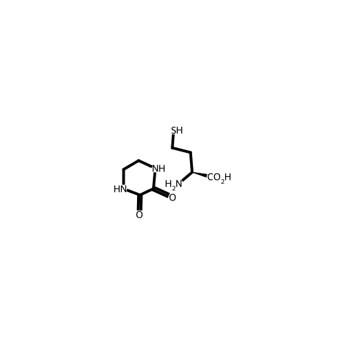 N[C@@H](CCS)C(=O)O.O=C1NCCNC1=O